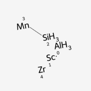 [AlH3].[Sc].[SiH3][Mn].[Zr]